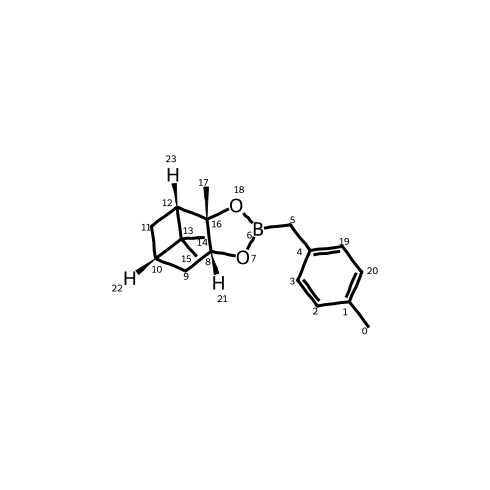 Cc1ccc(CB2O[C@@H]3C[C@@H]4C[C@@H](C4(C)C)[C@]3(C)O2)cc1